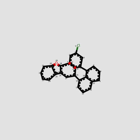 Clc1cccc(-c2cccc3cccc(-c4ccc5oc6ccccc6c5c4)c23)c1